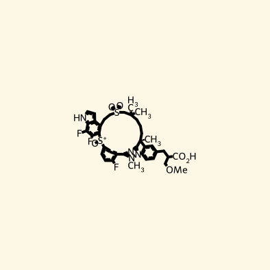 COCC(Cc1cccc([C@@]2(C)CCCC(C)(C)CS(=O)(=O)CCc3c(c(F)c(F)c4[nH]ccc34)[S+]([O-])c3ccc(F)c(c3)-c3nc2nn3C)c1)C(=O)O